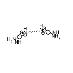 N=C(N)c1ccc(S(=O)(=O)NCCCCCCCNS(=O)(=O)c2ccc(C(=N)N)cc2)cc1